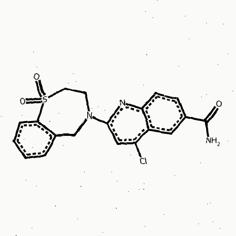 NC(=O)c1ccc2nc(N3CCS(=O)(=O)c4ccccc4C3)cc(Cl)c2c1